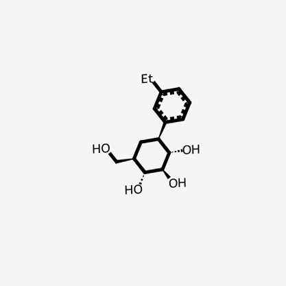 CCc1cccc([C@@H]2C[C@H](CO)[C@@H](O)[C@H](O)[C@H]2O)c1